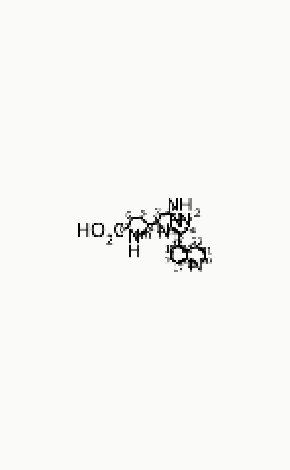 Nc1cc(C2CCC(C(=O)O)NC2)nc2c(-c3cccc4ncccc34)cnn12